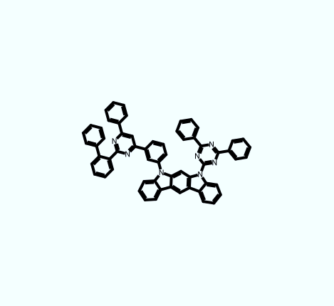 c1ccc(-c2cc(-c3cccc(-n4c5ccccc5c5cc6c7ccccc7n(-c7nc(-c8ccccc8)nc(-c8ccccc8)n7)c6cc54)c3)nc(-c3ccccc3-c3ccccc3)n2)cc1